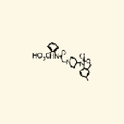 Cc1ccc2c(c1)COC(=O)N2C1CCN(CC(=O)Nc2ccccc2C(=O)O)CC1